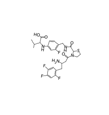 CC(C)C(Nc1ccc(CNC(=O)C2SCCN2C(=O)CC(N)Cc2cc(F)c(F)cc2F)c(F)c1)C(=O)O